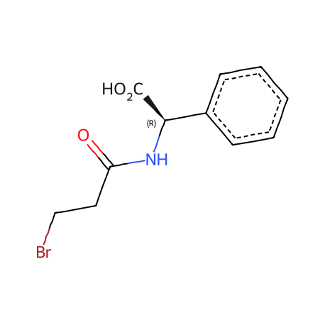 O=C(CCBr)N[C@@H](C(=O)O)c1ccccc1